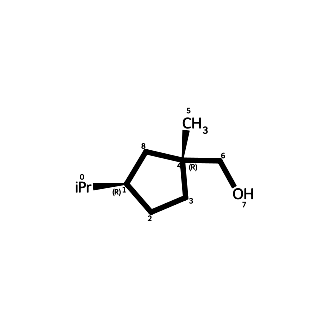 CC(C)[C@@H]1CC[C@@](C)(CO)C1